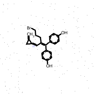 C=C1C/C1=C/C(CCCBr)=C(c1ccc(O)cc1)c1ccc(O)cc1